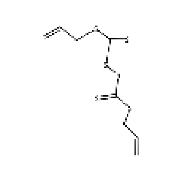 C=CCSC(=S)SSC(=S)SCC=C